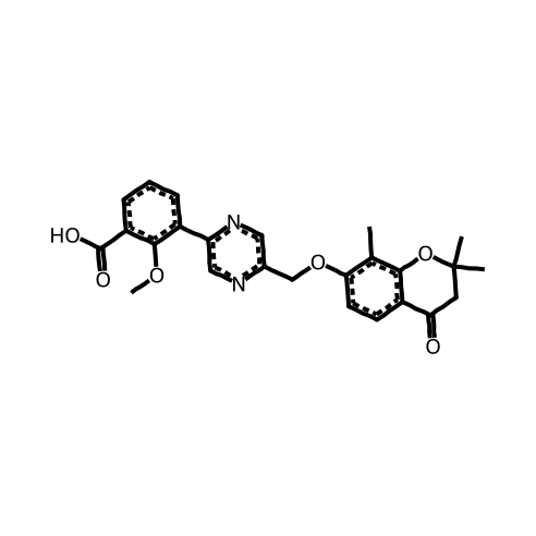 COc1c(C(=O)O)cccc1-c1cnc(COc2ccc3c(c2C)OC(C)(C)CC3=O)cn1